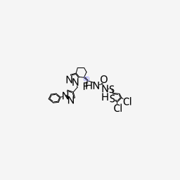 O=C(NC/C(F)=C1\CCCc2cnn(Cc3cnn(-c4ccccc4)c3)c21)NSc1cc(Cl)c(Cl)s1